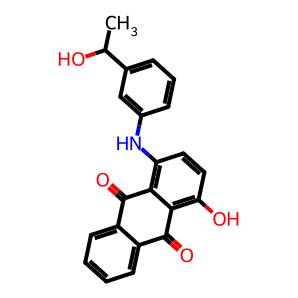 CC(O)c1cccc(Nc2ccc(O)c3c2C(=O)c2ccccc2C3=O)c1